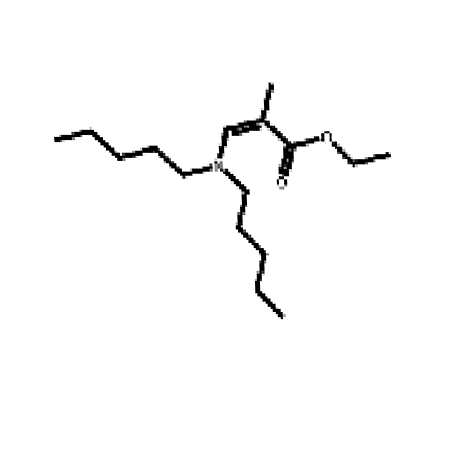 CCCCCN(C=C(C)C(=O)OCC)CCCCC